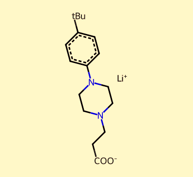 CC(C)(C)c1ccc(N2CCN(CCC(=O)[O-])CC2)cc1.[Li+]